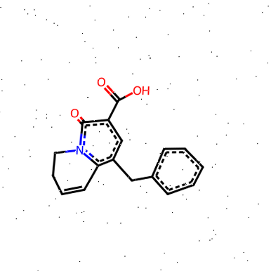 O=C(O)c1cc(Cc2ccccc2)c2n(c1=O)CCC=C2